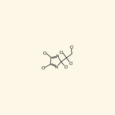 ClCC(Cl)(Cl)C1(Cl)N=C(Cl)C(Cl)=N1